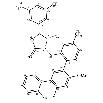 COc1cc(F)c(-c2ccccc2C)cc1-c1ccc(C(F)(F)F)cc1CN1C(=O)OC(c2cc(C(F)(F)F)cc(C(F)(F)F)c2)[C@@H]1C